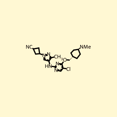 CN[C@H]1CC[C@H](COc2nc(Nc3cn(C4CC(C#N)C4)nc3C)ncc2Cl)CC1